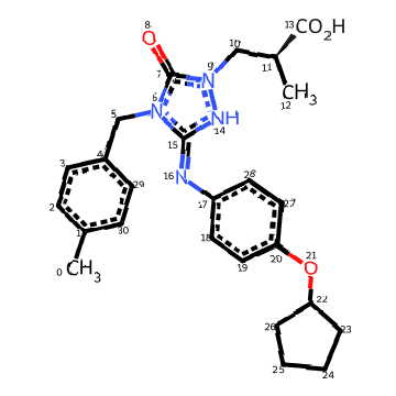 Cc1ccc(Cn2c(=O)n(C[C@H](C)C(=O)O)[nH]/c2=N\c2ccc(OC3CCCC3)cc2)cc1